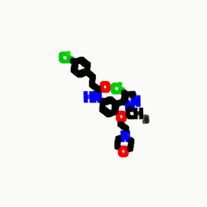 Cn1ncc(Cl)c1-c1cc(NC(=O)CCc2ccc(Cl)cc2)ccc1OCCN1CCOCC1